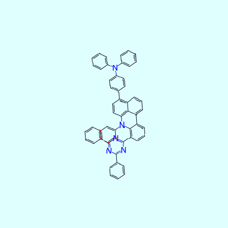 c1ccc(-c2nc(-c3ccccc3)nc(-c3cccc4c3N(c3ccccc3)c3ccc(-c5ccc(N(c6ccccc6)c6ccccc6)cc5)c5cccc-4c35)n2)cc1